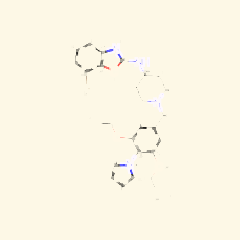 CCOc1cc(CN2CCC(Nc3nc4cccc(Br)c4o3)CC2)cc(OCC)c1-n1cccc1